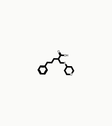 O=C(O)C(CCCc1ccccc1)CSC1CCOCC1